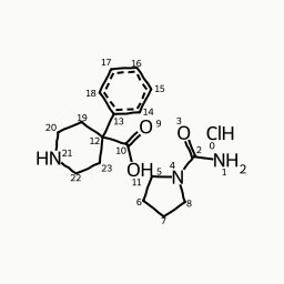 Cl.NC(=O)N1CCCC1.O=C(O)C1(c2ccccc2)CCNCC1